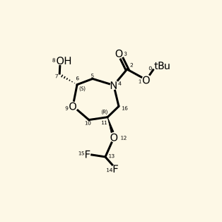 CC(C)(C)OC(=O)N1C[C@@H](CO)OC[C@H](OC(F)F)C1